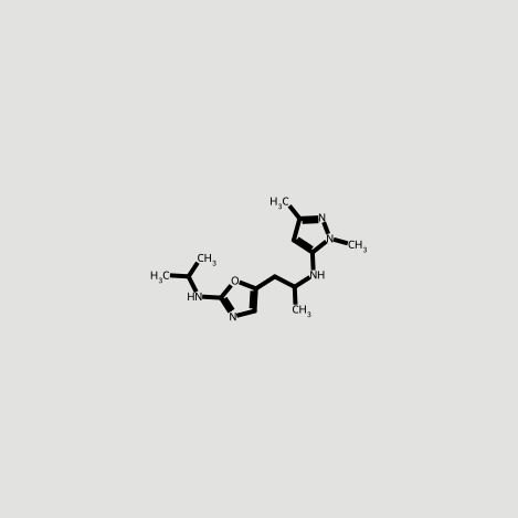 Cc1cc(NC(C)Cc2cnc(NC(C)C)o2)n(C)n1